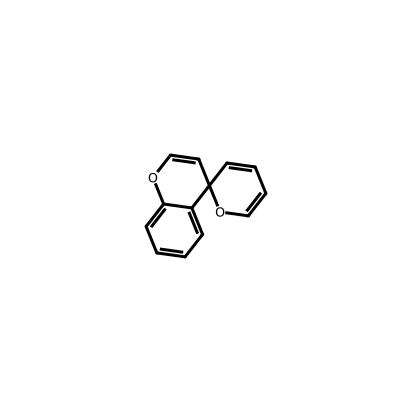 C1=COC2(C=C1)C=COc1ccccc12